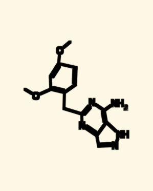 COc1ccc(Cc2nc(N)c3[nH]ncc3n2)c(OC)c1